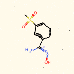 CS(=O)(=O)c1cccc(/C(N)=N/O)c1